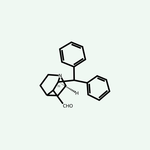 O=CC1C2CCN(CC2)[C@H]1C(c1ccccc1)c1ccccc1